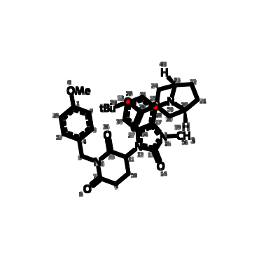 COc1ccc(CN2C(=O)CCC(n3c(=O)n(C)c4c(N5[C@@H]6CC[C@H]5CN(C(=O)OC(C)(C)C)C6)cccc43)C2=O)cc1